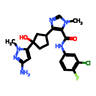 Cn1cnc(C2CCC(O)(c3cc(N)nn3C)C2)c1C(=O)Nc1ccc(F)c(Cl)c1